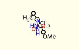 COc1ccc(C(=O)c2[nH]c(=O)[nH]c2C(C)N2CCC(c3ccccc3C)CC2)cc1